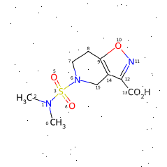 CN(C)S(=O)(=O)N1CCc2onc(C(=O)O)c2C1